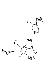 C#Cc1c(F)c(N)c2c(=O)cc(-c3ccc(N)c(F)c3)oc2c1F